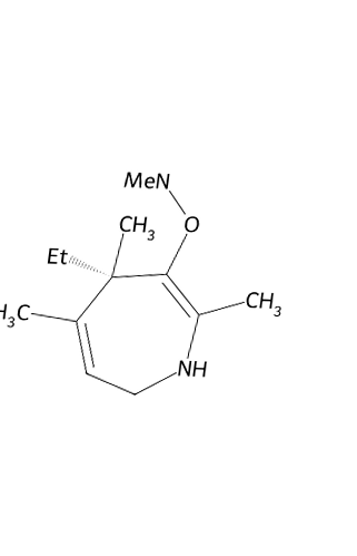 CC[C@@]1(C)C(C)=CCNC(C)=C1ONC